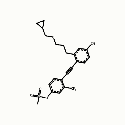 CS(=O)(=O)Oc1ccc(C#Cc2ccc(C#N)cc2CCCOCC2CC2)c(C(F)(F)F)c1